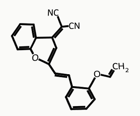 C=COc1ccccc1/C=C/C1=CC(=C(C#N)C#N)c2ccccc2O1